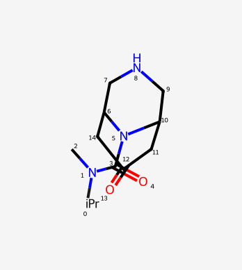 CC(C)N(C)C(=O)N1C2CNCC1CC(=O)C2